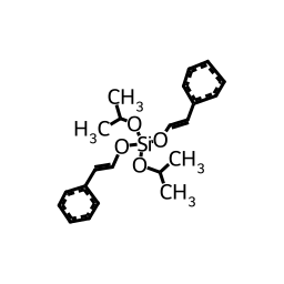 CC(C)O[Si](OC=Cc1ccccc1)(OC=Cc1ccccc1)OC(C)C